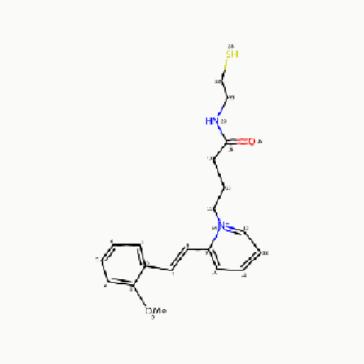 COc1ccccc1/C=C/c1cccc[n+]1CCCC(=O)NCCS